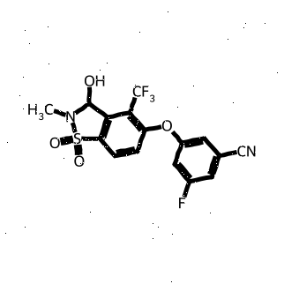 CN1C(O)c2c(ccc(Oc3cc(F)cc(C#N)c3)c2C(F)(F)F)S1(=O)=O